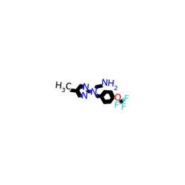 CCc1cnc(N(CCN)Cc2ccc(OC(F)(F)F)cc2)nc1